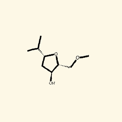 COC[C@H]1O[C@@H](C(C)C)C[C@@H]1O